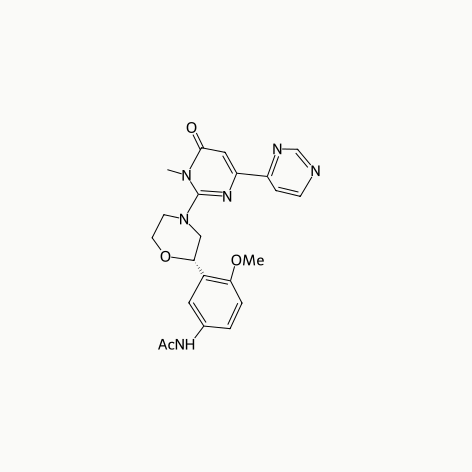 COc1ccc(NC(C)=O)cc1[C@H]1CN(c2nc(-c3ccncn3)cc(=O)n2C)CCO1